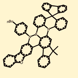 CCCCc1ccc(N2B3c4cccc5c4N(c4ccccc4C54c5ccccc5-c5ccccc54)c4cc5c(c(c43)-c3cc4oc6ccccc6c4cc32)-c2ccccc2C5(C)C)cc1